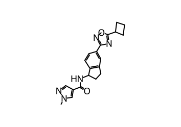 Cn1cc(C(=O)NC2CCc3cc(-c4noc(C5CCC5)n4)ccc32)cn1